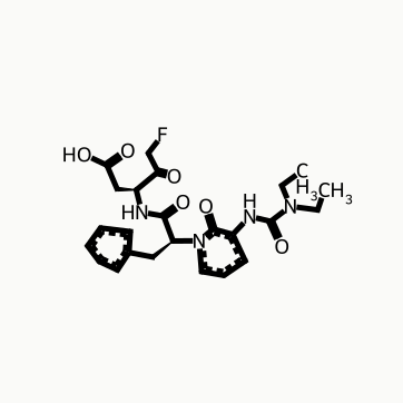 CCN(CC)C(=O)Nc1cccn([C@@H](Cc2ccccc2)C(=O)N[C@@H](CC(=O)O)C(=O)CF)c1=O